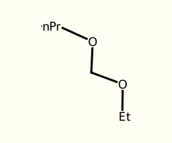 CC[CH]OCOCC